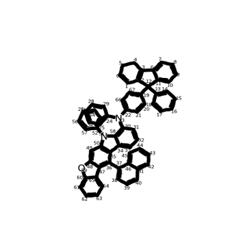 C1=CC2=C(CC1)c1ccccc1C2(c1ccccc1)c1ccc(N(c2ccccc2)c2cccc3c4c(-c5cccc6ccccc56)c5c(cc4n(-c4ccccc4)c23)oc2ccccc25)cc1